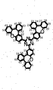 c1ccc2c(c1)Oc1ccc(-c3nc(-c4ccc5c(c4)-c4ccccc4-c4ccccc4O5)nc(-c4ccc5c(c4)-c4ccccc4-c4ccccc4O5)n3)cc1-c1ccccc1-2